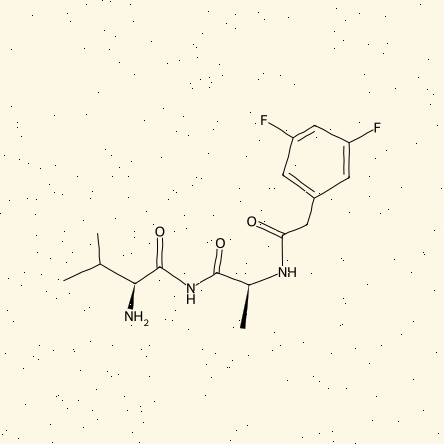 CC(C)[C@H](N)C(=O)NC(=O)[C@H](C)NC(=O)Cc1cc(F)cc(F)c1